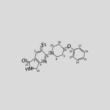 CCc1cc2c(nc1N1CCC(Oc3ccccc3)CC1)CNC2=O